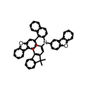 CC1(C)C2=C(CCC(N(c3ccc4oc5ccccc5c4c3)c3ccc4ccccc4c3-c3ccc4c(c3)oc3ccccc34)=C2)c2ccccc21